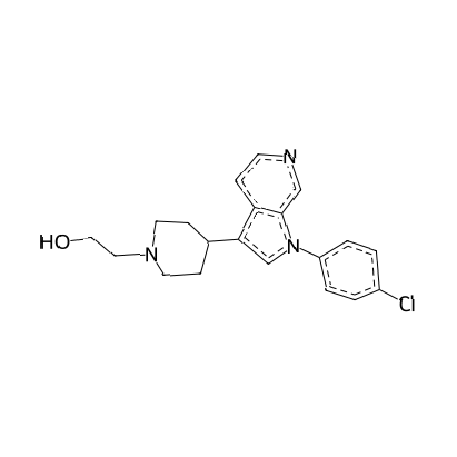 OCCN1CCC(c2cn(-c3ccc(Cl)cc3)c3cnccc23)CC1